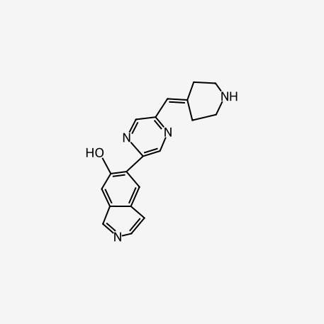 Oc1cc2cnccc2cc1-c1cnc(C=C2CCNCC2)cn1